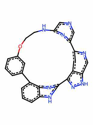 c1cc2cc(c1)-c1cccc3[nH]c(nc13)-c1n[nH]c3cnc(cc13)-c1cncc(n1)NCCO2